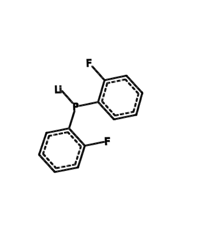 [Li][P](c1ccccc1F)c1ccccc1F